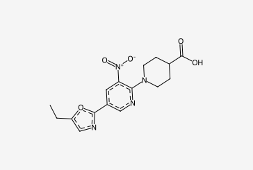 CCc1cnc(-c2cnc(N3CCC(C(=O)O)CC3)c([N+](=O)[O-])c2)o1